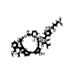 CCn1c(-c2cccnc2[C@H](C)OC)c2c3cc(ccc31)-c1cc(O)cc(c1)C[C@H](NC(=O)C(C(C)C)N(C)C(=O)c1ccc(NC(=O)/C=C/CN(C)C)nc1)C(=O)N1CCC[C@H](N1)C(=O)OCC(C)(C)C2